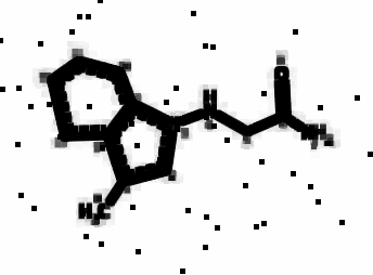 Cc1cn(NCC(N)=O)c2ccccc12